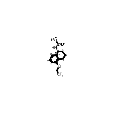 CC(C)(C)[S+]([O-])N[C@@H]1CCCc2c(OCC(F)(F)F)cccc21